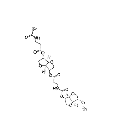 CC(C)O[C@H]1CO[C@H]2[C@@H]1OC[C@H]2OC(=O)NCCC(=O)O[C@@H]1CO[C@H]2[C@@H]1OC[C@@H]2OC(=O)CCNC(=O)C(C)C